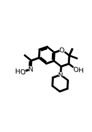 CC(=NO)c1ccc2c(c1)C(N1CCCCC1)C(O)C(C)(C)O2